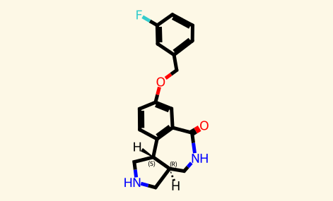 O=C1NC[C@H]2CNC[C@@H]2c2ccc(OCc3cccc(F)c3)cc21